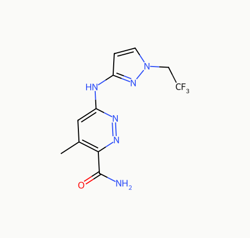 Cc1cc(Nc2ccn(CC(F)(F)F)n2)nnc1C(N)=O